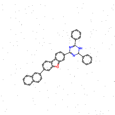 c1ccc(C2=NC(c3ccc4c(c3)oc3cc(-c5ccc6ccccc6c5)ccc34)=NC(c3ccccc3)N2)cc1